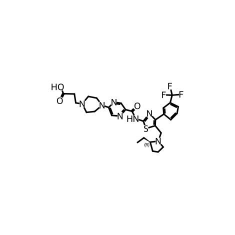 CC[C@@H]1CCCN1Cc1sc(NC(=O)c2cnc(N3CCN(CCC(=O)O)CC3)cn2)nc1-c1cccc(C(F)(F)F)c1